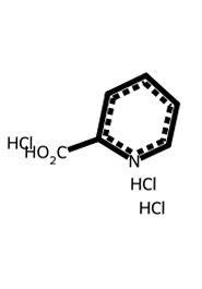 Cl.Cl.Cl.O=C(O)c1ccccn1